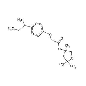 CCC(C)c1ccc(OCC(=O)OC2(C)COC(C)(O)C2)cc1